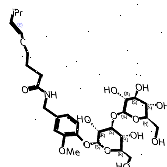 COc1cc(CNC(=O)CCCC/C=C/C(C)C)ccc1O[C@@H]1O[C@H](CO)[C@@H](O)[C@H](O[C@@H]2O[C@H](CO)[C@@H](O)[C@H](O)[C@H]2O)[C@H]1O